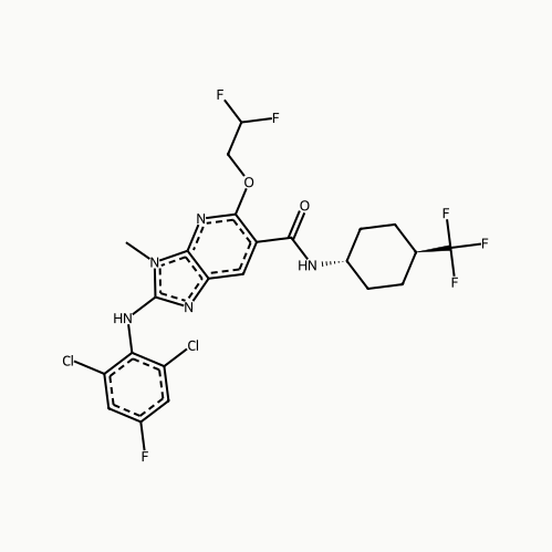 Cn1c(Nc2c(Cl)cc(F)cc2Cl)nc2cc(C(=O)N[C@H]3CC[C@H](C(F)(F)F)CC3)c(OCC(F)F)nc21